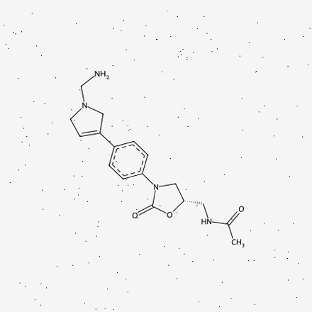 CC(=O)NC[C@H]1CN(c2ccc(C3=CCN(CN)C3)cc2)C(=O)O1